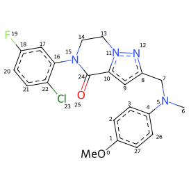 COc1ccc(N(C)Cc2cc3n(n2)CCN(c2cc(F)ccc2Cl)C3=O)cc1